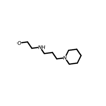 [O]CCNCCCN1CCCCC1